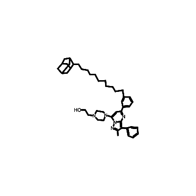 Cc1nn2c(N3CCN(CCO)CC3)cc(-c3cccc(CCCCCCCCCCCC4C5CC6CC(C5)CC4C6)c3)nc2c1-c1ccccc1